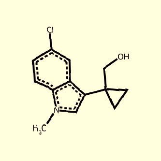 Cn1cc(C2(CO)CC2)c2cc(Cl)ccc21